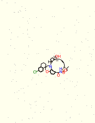 CC(C)[C@H]1CC=CC[C@H](O)[C@@H]2CC[C@H]2CN2C[C@@]3(CCCc4cc(Cl)ccc43)COc3ccc(cc32)C(=O)NS1(=O)=O